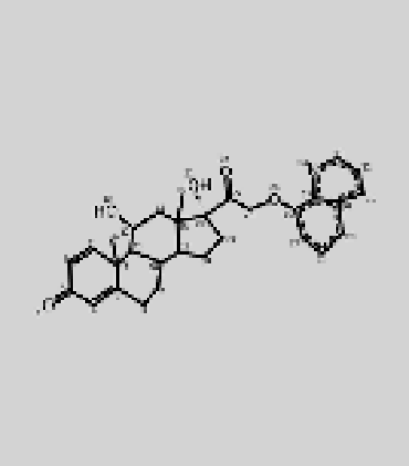 CC12C=CC(=O)C=C1CCC1C2[C@@H](O)CC2(C)C1CC[C@]2(O)C(=O)COc1cccc2cccnc12